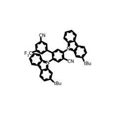 CC(C)(C)c1ccc2c3ccccc3n(-c3cc(-c4cc(C#N)cc(C(F)(F)F)c4)c(-n4c5ccccc5c5ccc(C(C)(C)C)cc54)cc3C#N)c2c1